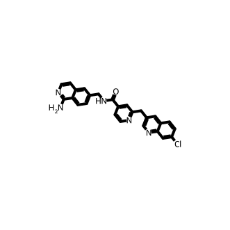 Nc1nccc2cc(CNC(=O)c3ccnc(Cc4cnc5cc(Cl)ccc5c4)c3)ccc12